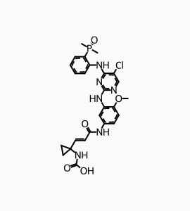 COc1ccc(NC(=O)C=CC2(NC(=O)O)CC2)cc1Nc1ncc(Cl)c(Nc2ccccc2P(C)(C)=O)n1